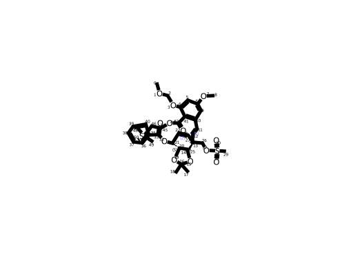 COCOc1cc(OC)cc(/C=C/C[C@@H]2OC(C)(C)O[C@@H]2C(/C=C\[C@H](C)COS(C)(=O)=O)OC(=O)c2ccccc2)c1C(=O)OCC[Si](C)(C)C